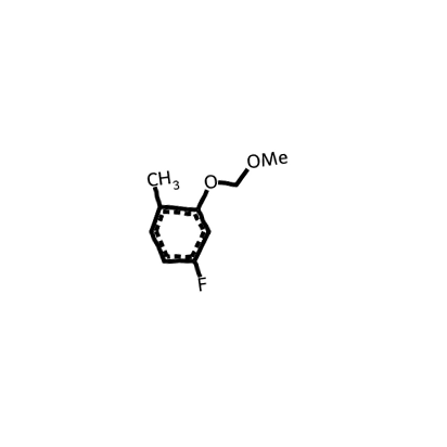 COCOc1cc(F)ccc1C